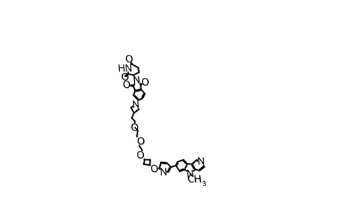 Cn1c2ccncc2c2ccc(-c3ccc(OC4CC(OCCOCCOCCC5CN(c6ccc7c(c6)C(=O)N(C6CCC(=O)NC6=O)C7=O)C5)C4)nc3)cc21